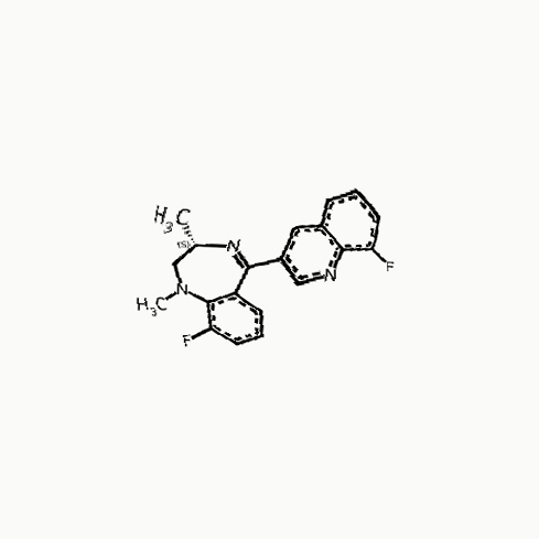 C[C@H]1CN(C)c2c(F)cccc2C(c2cnc3c(F)cccc3c2)=N1